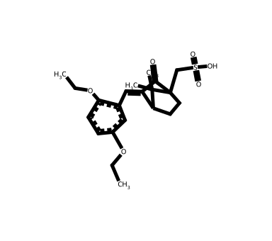 CCOc1ccc(OCC)c(C=C2C(=O)C3(CS(=O)(=O)O)CCC2C3(C)C)c1